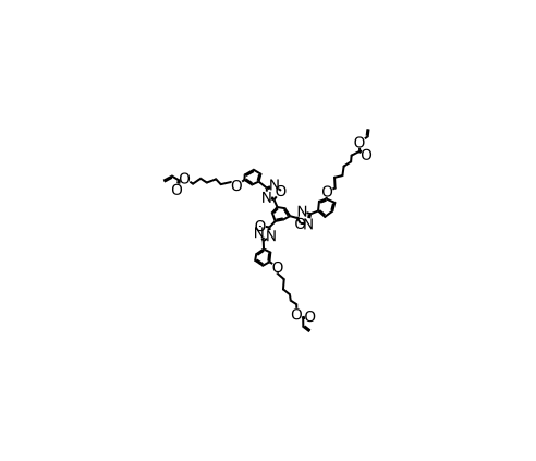 C=COC(=O)CCCCCCOc1cccc(-c2noc(-c3cc(-c4nc(-c5cccc(OCCCCCCOC(=O)C=C)c5)no4)cc(-c4nc(-c5cccc(OCCCCCCOC(=O)C=C)c5)no4)c3)n2)c1